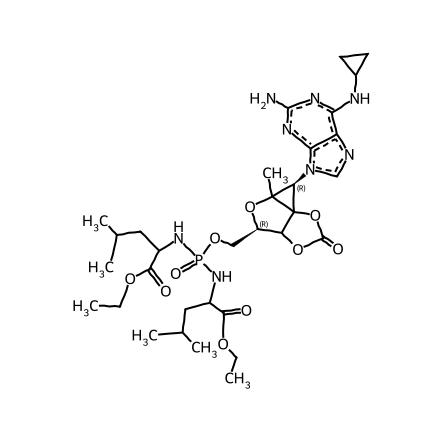 CCOC(=O)C(CC(C)C)NP(=O)(NC(CC(C)C)C(=O)OCC)OC[C@H]1OC2(C)[C@@H](n3cnc4c(NC5CC5)nc(N)nc43)C23OC(=O)OC13